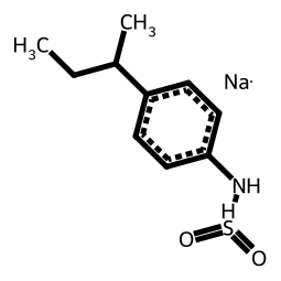 CCC(C)c1ccc(N[SH](=O)=O)cc1.[Na]